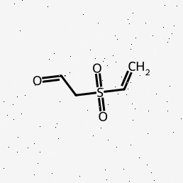 C=CS(=O)(=O)C[C]=O